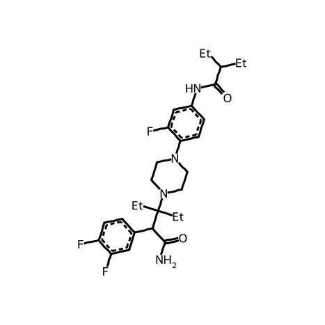 CCC(CC)C(=O)Nc1ccc(N2CCN(C(CC)(CC)C(C(N)=O)c3ccc(F)c(F)c3)CC2)c(F)c1